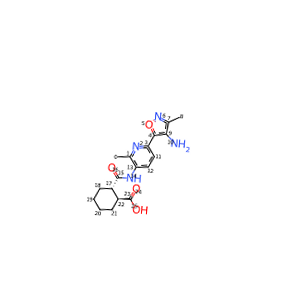 Cc1nc(-c2onc(C)c2N)ccc1NC(=O)[C@H]1CCCC[C@@H]1C(=O)O